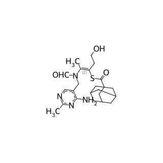 C/C(=C(\CCO)SC(=O)C12CC3CC(CC(C3)C1)C2)N(C=O)Cc1cnc(C)nc1N